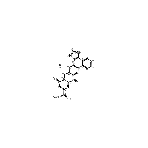 CCCCc1cc(C(=O)OC)cc(=O)n1Cc1ccc(-c2ccccc2-c2nnn[nH]2)cc1.[K]